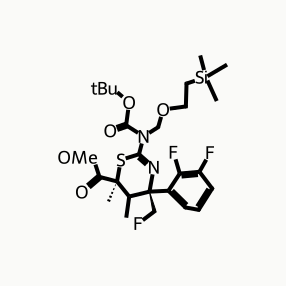 COC(=O)[C@@]1(C)SC(N(COCC[Si](C)(C)C)C(=O)OC(C)(C)C)=N[C@](CF)(c2cccc(F)c2F)C1C